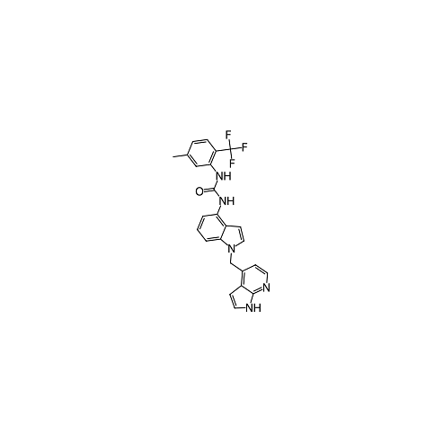 Cc1ccc(C(F)(F)F)c(NC(=O)Nc2cccc3c2ccn3Cc2ccnc3[nH]ccc23)c1